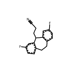 N#CCCC1c2cc(F)ccc2CCc2ccc(F)cc21